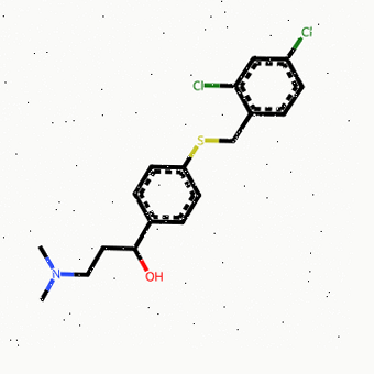 CN(C)CCC(O)c1ccc(SCc2ccc(Cl)cc2Cl)cc1